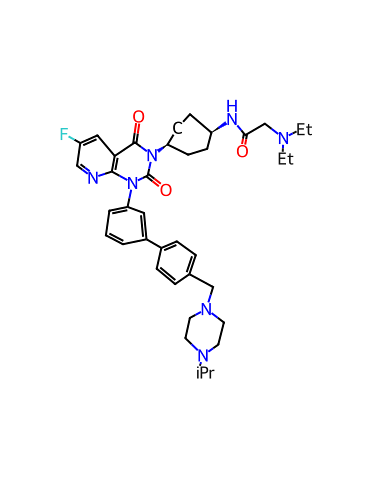 CCN(CC)CC(=O)N[C@H]1CC[C@@H](n2c(=O)c3cc(F)cnc3n(-c3cccc(-c4ccc(CN5CCN(C(C)C)CC5)cc4)c3)c2=O)CC1